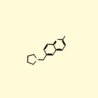 Cc1ccc2cc(CN3CCCC3)ccc2n1